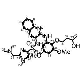 COc1cc(Nc2nc3ccccc3nc2NS(=O)(=O)c2cn(C)c(CN(C)C)n2)c(OCCC(C)O)c(OC)c1